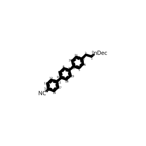 CCCCCCCCCCCCc1ccc(-c2ccc(-c3ccc(C#N)cc3)cc2)cc1